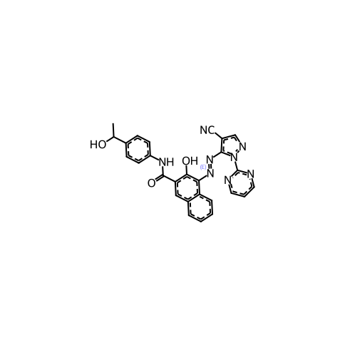 CC(O)c1ccc(NC(=O)c2cc3ccccc3c(/N=N/c3c(C#N)cnn3-c3ncccn3)c2O)cc1